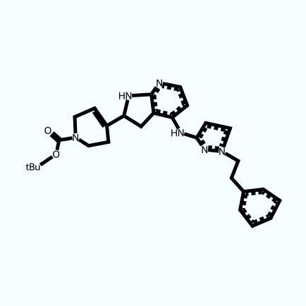 CC(C)(C)OC(=O)N1CC=C(C2Cc3c(Nc4ccn(CCc5ccccc5)n4)ccnc3N2)CC1